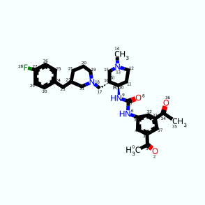 CC(=O)c1cc(NC(=O)N[C@@H]2CCN(C)C[C@H]2CN2CCCC(Cc3ccc(F)cc3)C2)cc(C(C)=O)c1